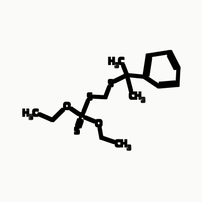 CCOP(=S)(OCC)SCSC(C)(C)c1ccccc1